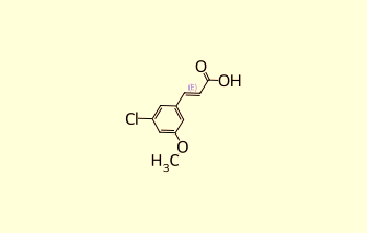 COc1cc(Cl)cc(/C=C/C(=O)O)c1